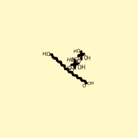 O=C(O)CCCCCCCCCCCCCCCCCO.OCC(CO)(CO)CO.OCC(CO)(CO)CO